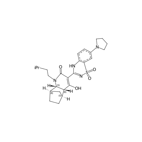 CC(C)CCN1C(=O)C(C2=NS(=O)(=O)c3cc(N4CCCC4)ccc3N2)=C(O)[C@@H]2[C@H]3CC[C@H](C3)[C@@H]21